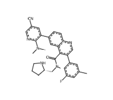 Cc1cc(F)cc(-c2cnc3ccc(-c4cc(C#N)cnc4N(C)C)cc3c2C(=O)N(C)C[C@@H]2CCCN2)c1